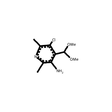 COC(OC)c1c(N)c(C)nc(C)c1Cl